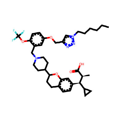 CCCCCCn1cc(COc2ccc(OC(F)(F)F)c(CN3CCC(C4CCc5ccc([C@H](C6CC6)[C@H](C)C(=O)O)cc5O4)CC3)c2)nn1